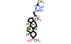 CC1=NN(CC(=O)[C@H]2CC[C@H]3[C@@H]4CC[C@H]5C[C@](C)(O)CC[C@]5(C(F)(F)F)[C@H]4CC[C@]23C)NN1